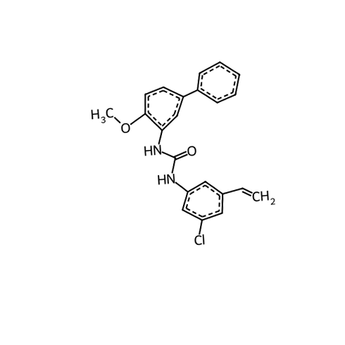 C=Cc1cc(Cl)cc(NC(=O)Nc2cc(-c3ccccc3)ccc2OC)c1